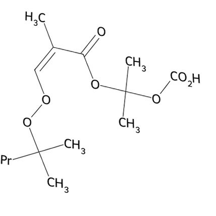 CCCC(C)(C)OOC=C(C)C(=O)OC(C)(C)OC(=O)O